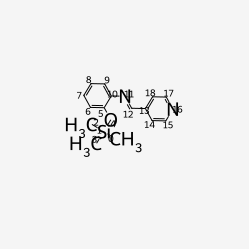 C[Si](C)(C)Oc1ccccc1/N=C/c1ccncc1